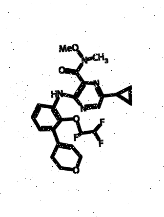 CON(C)C(=O)c1nc(C2CC2)cnc1Nc1cccc(C2=CCOCC2)c1OC(F)C(F)F